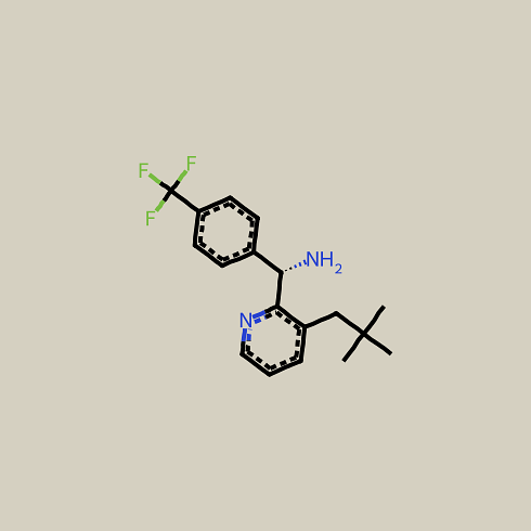 CC(C)(C)Cc1cccnc1[C@@H](N)c1ccc(C(F)(F)F)cc1